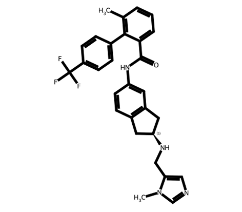 Cc1cccc(C(=O)Nc2ccc3c(c2)C[C@@H](NCc2cncn2C)C3)c1-c1ccc(C(F)(F)F)cc1